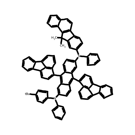 CC(C)(C)c1ccc(N(c2ccccc2)c2ccc3c(-c4ccc5c6c(cccc46)-c4ccccc4-5)c4cc(N(c5ccccc5)c5ccc6c(c5)C(C)(C)c5c-6ccc6ccccc56)ccc4c(-c4ccc5c6c(cccc46)-c4ccccc4-5)c3c2)cc1